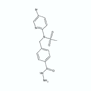 CS(=O)(=O)N(Cc1ccc(C(=O)NN)cc1)c1ccc(Br)cn1